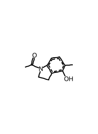 CC(=O)N1CCc2c1ccc(C)c2O